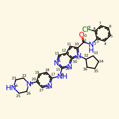 O=C(Nc1ccccc1Cl)c1cc2cnc(Nc3ccc(N4CCNCC4)cn3)nc2n1C1CCCC1